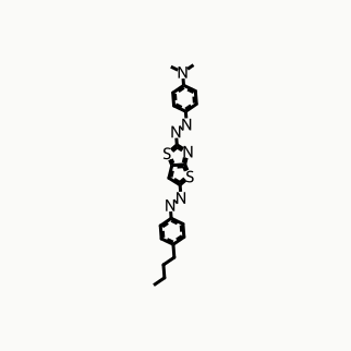 CCCCc1ccc(N=Nc2cc3sc(N=Nc4ccc(N(C)C)cc4)nc3s2)cc1